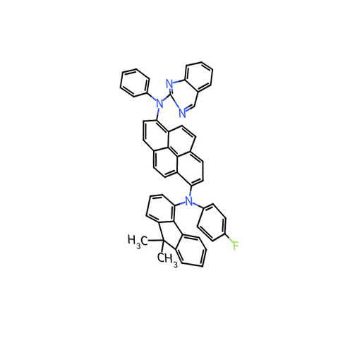 CC1(C)c2ccccc2-c2c(N(c3ccc(F)cc3)c3ccc4ccc5c(N(c6ccccc6)c6ncc7ccccc7n6)ccc6ccc3c4c65)cccc21